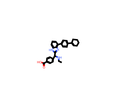 CCNC(c1ccc(C(=O)O)cc1)c1nc2c(-c3ccc(C4=CCCCC4)cc3)cccc2[nH]1